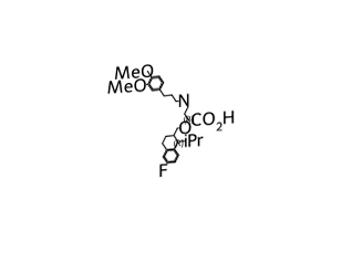 COc1ccc(CCCN(C)CC[C@@H](OCC2CCc3cc(F)ccc3[C@@H]2C(C)C)C(=O)O)cc1OC